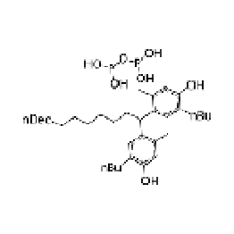 CCCCCCCCCCCCCCCCC(c1cc(CCCC)c(O)cc1C)c1cc(CCCC)c(O)cc1C.OP(O)OP(O)O